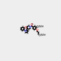 COCCCOc1ccc(C(=O)N2CCC3(CC2)Oc2ccccc2-n2cccc23)cc1OC